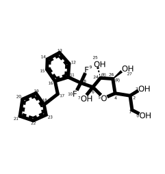 OCC(O)C1OC(O)(C(F)(F)c2ccccc2Cc2ccccc2)[C@H](O)[C@H]1O